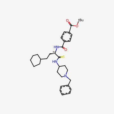 CC(C)(C)OC(=O)c1ccc(C(=O)N[C@H](CCC2CCCCC2)C(=S)NC2CCN(Cc3ccccc3)CC2)cc1